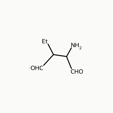 CCC([C]=O)C(N)C=O